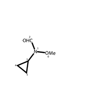 CON([C]=O)C1CC1